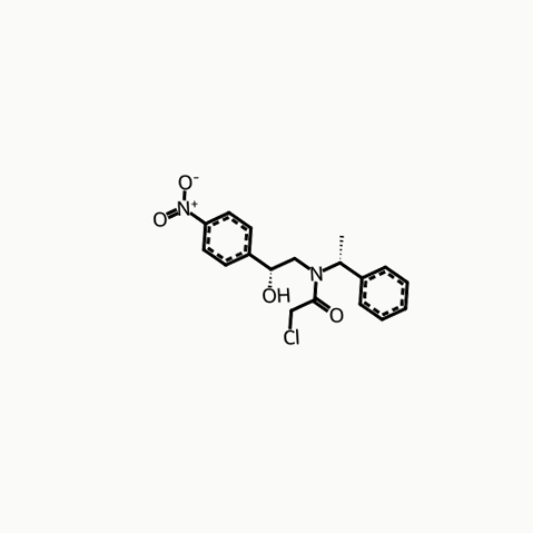 C[C@H](c1ccccc1)N(C[C@H](O)c1ccc([N+](=O)[O-])cc1)C(=O)CCl